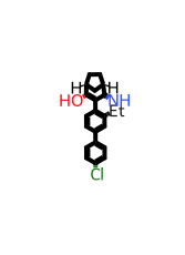 CCc1cc(-c2ccc(Cl)cc2)ccc1C1=C(O)[C@H]2CC[C@H](C2)C1=N